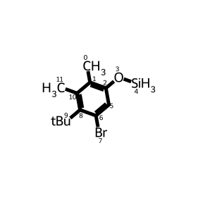 Cc1c(O[SiH3])cc(Br)c(C(C)(C)C)c1C